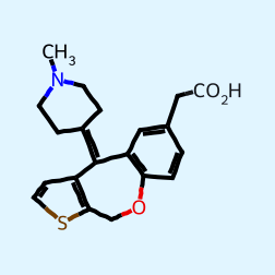 CN1CCC(=C2c3cc(CC(=O)O)ccc3OCc3sccc32)CC1